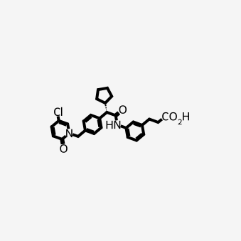 O=C(O)CCc1cccc(NC(=O)[C@H](c2ccc(Cn3cc(Cl)ccc3=O)cc2)C2CCCC2)c1